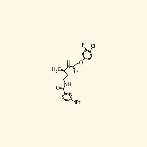 C=C(CCNC(=O)c1nc(C(C)C)cs1)NC(=O)COc1ccc(Cl)c(F)c1